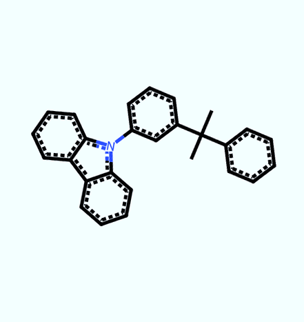 CC(C)(c1ccccc1)c1cccc(-n2c3ccccc3c3ccccc32)c1